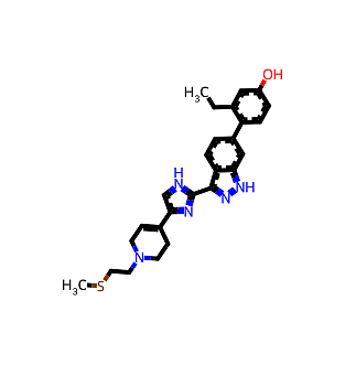 CCc1cc(O)ccc1-c1ccc2c(-c3nc(C4=CCN(CCSC)CC4)c[nH]3)n[nH]c2c1